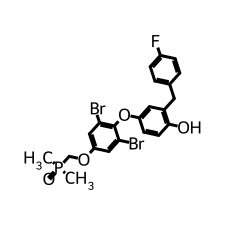 CP(C)(=O)COc1cc(Br)c(Oc2ccc(O)c(Cc3ccc(F)cc3)c2)c(Br)c1